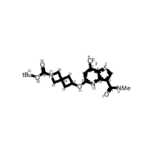 CNC(=O)c1csc2c(C(F)(F)F)cc(OC3CC4(C3)CN(C(=O)OC(C)(C)C)C4)nc12